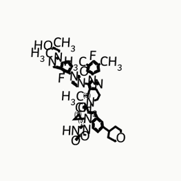 Cc1cc(-n2nc3c(c2-n2ccn(-c4ccc5c(cnn5CC(C)(C)O)c4F)c2=O)[C@H](C)N(C(=O)c2cc4cc(C5CCOCC5)ccc4n2[C@@]2(c4noc(=O)[nH]4)C[C@@H]2C)CC3)cc(C)c1F